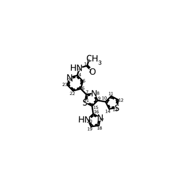 CC(=O)Nc1cc(-c2nc(-c3ccsc3)c(-c3ncc[nH]3)s2)ccn1